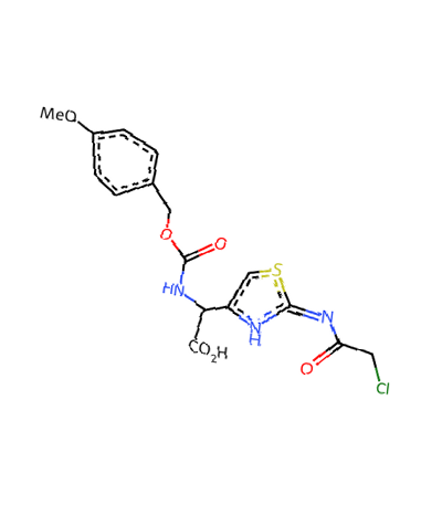 COc1ccc(COC(=O)NC(C(=O)O)c2cs/c(=N/C(=O)CCl)[nH]2)cc1